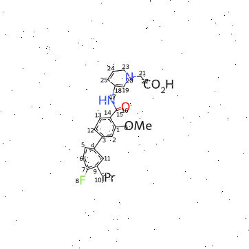 COc1cc(-c2ccc(F)c(C(C)C)c2)ccc1C(=O)NC1=CN(CC(=O)O)CC=C1